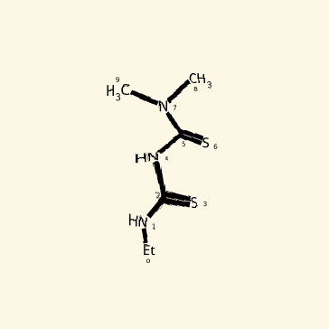 CCNC(=S)NC(=S)N(C)C